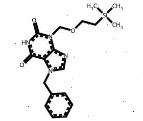 C[Si](C)(C)CCOCn1c(=O)[nH]c(=O)c2c1ncn2Cc1ccccc1